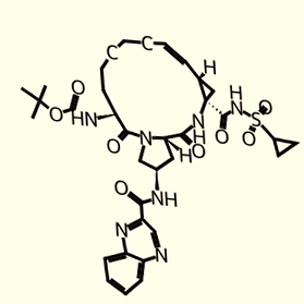 CC(C)(C)OC(=O)N[C@H]1CCCCC/C=C\[C@@H]2C[C@@]2(C(=O)NS(=O)(=O)C2CC2)NC(=O)[C@@H]2C[C@@H](NC(=O)c3cnc4ccccc4n3)CN2C1=O